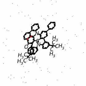 CC(C)(C)c1ccc(N2B3c4c(cc(-c5ccccc5)cc4N(c4ccccc4-c4ccccc4)c4ccc5oc6ccccc6c5c43)-c3cc(C(C)(C)C)ccc32)cc1